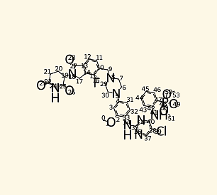 COc1cc(N2CCN(Cc3ccc4c(c3F)CN(C3CCC(=O)NC3=O)C4=O)CC2)ccc1Nc1ncc(Cl)c(Nc2ccccc2P(=O)(OC)OC)n1